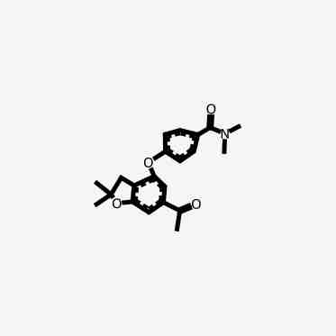 CC(=O)c1cc(Oc2ccc(C(=O)N(C)C)cc2)c2c(c1)OC(C)(C)C2